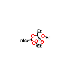 CCCCC(=O)OC(CC)[Si](OCC)(OCC)OCC